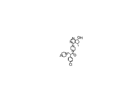 C[C@@H]1C[C@@H](O)c2ncnc(N3CCN(C(=O)[C@H](CN4CCN(C)CC4)c4ccc(Cl)cc4)CC3)c21